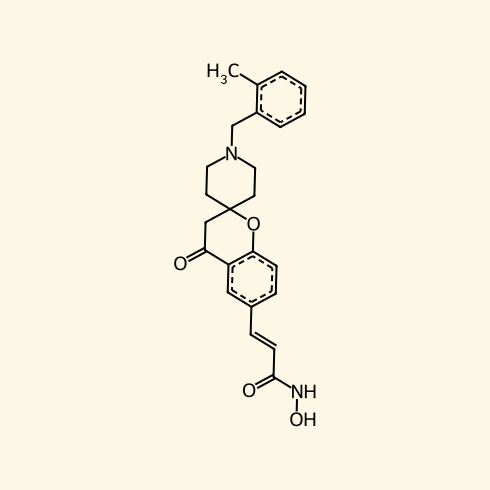 Cc1ccccc1CN1CCC2(CC1)CC(=O)c1cc(/C=C/C(=O)NO)ccc1O2